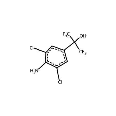 Nc1c(Cl)cc(C(O)(C(F)(F)F)C(F)(F)F)cc1Cl